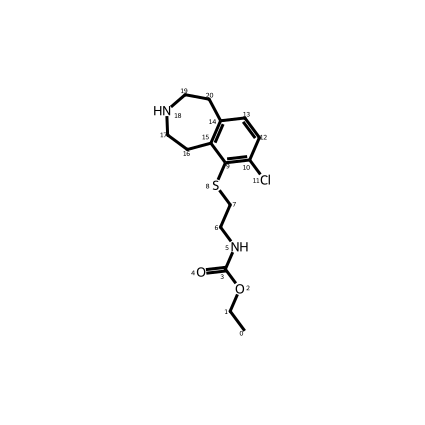 CCOC(=O)NCCSc1c(Cl)ccc2c1CCNCC2